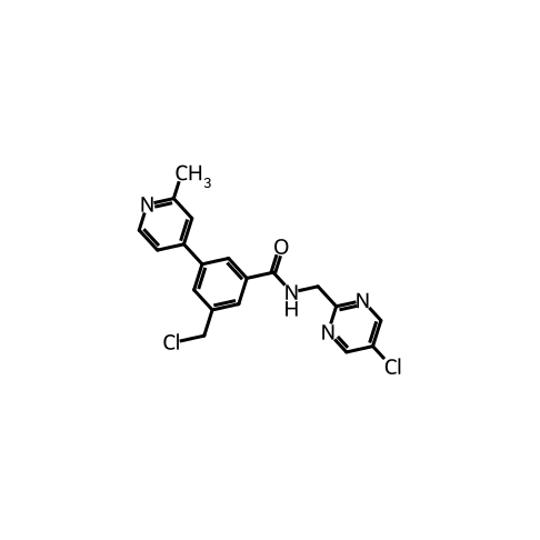 Cc1cc(-c2cc(CCl)cc(C(=O)NCc3ncc(Cl)cn3)c2)ccn1